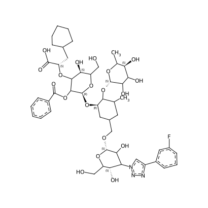 CC1CC(CO[C@H]2OC(CO)[C@@H](O)C(n3cc(-c4cccc(F)c4)nn3)C2O)C[C@@H](O[C@@H]2OC(CO)[C@H](O)C(O[C@@H](CC3CCCCC3)C(=O)O)C2OC(=O)c2ccccc2)C1O[C@@H]1OC(C)[C@@H](O)C(O)C1O